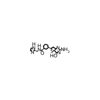 Nc1nc(O)c2sc(-c3cccc(C(=O)NCc4ncc[nH]4)c3)cc2n1